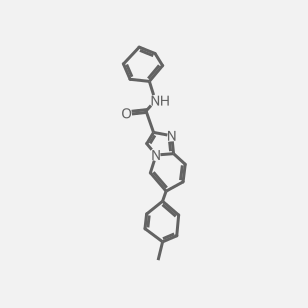 Cc1ccc(-c2ccc3nc(C(=O)Nc4ccccc4)cn3c2)cc1